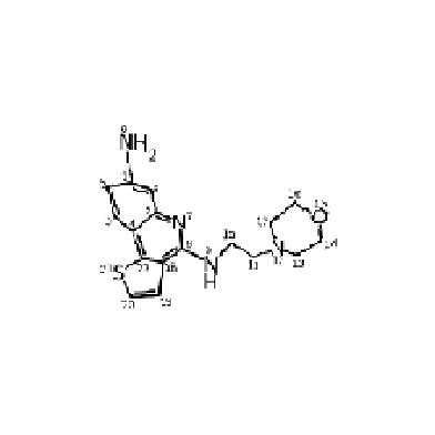 Nc1ccc2c(c1)nc(NCCN1CCOCC1)c1ccsc12